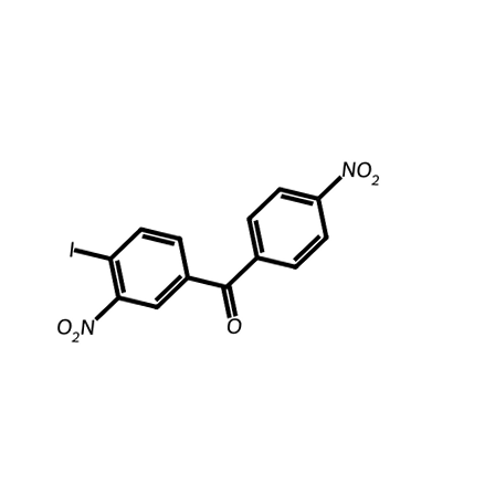 O=C(c1ccc([N+](=O)[O-])cc1)c1ccc(I)c([N+](=O)[O-])c1